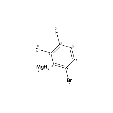 Fc1ccc(Br)cc1Cl.[MgH2]